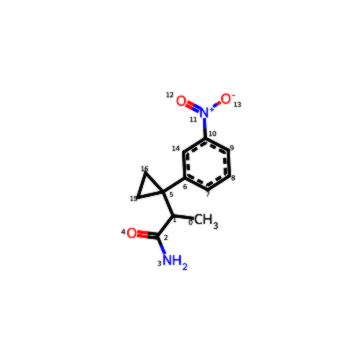 CC(C(N)=O)C1(c2cccc([N+](=O)[O-])c2)CC1